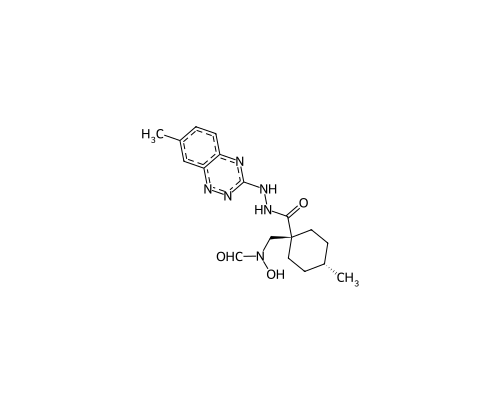 Cc1ccc2nc(NNC(=O)[C@]3(CN(O)C=O)CC[C@H](C)CC3)nnc2c1